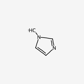 [CH]n1ccnc1